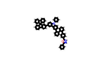 C1=C(c2ccc3c(c2)c2cc(-c4ccccc4-c4ccccc4-c4ccc(-c5nnc(-c6ccccc6)o5)cc4)ccc2n3-c2ccccc2)CCC2=C1C(c1ccccc1)(c1ccccc1)c1ccccc12